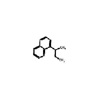 CCC(C)c1cccc2ccccc12